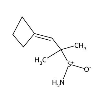 CC(C)(C=C1CCC1)[S+](N)[O-]